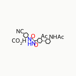 CC(=O)Nc1cccc(-c2cc3onc(C(=O)Nc4ccc(C#N)cc4C(=O)O)c3cc2C(C)=O)c1